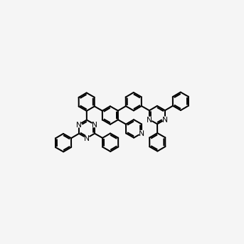 c1ccc(-c2cc(-c3cccc(-c4cc(-c5ccccc5-c5nc(-c6ccccc6)nc(-c6ccccc6)n5)ccc4-c4ccncc4)c3)nc(-c3ccccc3)n2)cc1